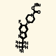 [2H]C([2H])([2H])C([2H])([2H])c1cc2cc(N3CCN(C(=O)OC(C)(C)C)CC3)c(F)cn2n1